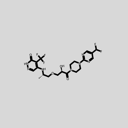 C[C@@H](COC[C@@H](O)C(=O)N1CCN(c2ncc(C(F)F)cn2)CC1)Nc1cn[nH]c(=O)c1C(F)(F)F